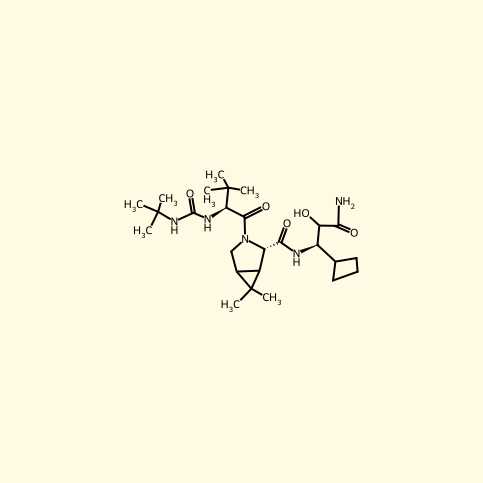 CC(C)(C)NC(=O)N[C@H](C(=O)N1CC2C([C@H]1C(=O)N[C@H](C1CCC1)C(O)C(N)=O)C2(C)C)C(C)(C)C